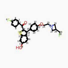 O=C(c1ccc(F)cc1)c1sc2cc(O)ccc2c1-c1ccc(OCCN2CC(CF)C2)cc1